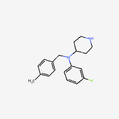 Cc1ccc(CN(c2cccc(F)c2)C2CCNCC2)cc1